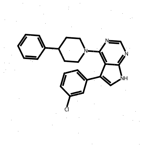 Clc1cccc(-c2c[nH]c3ncnc(N4CCC(c5ccccc5)CC4)c23)c1